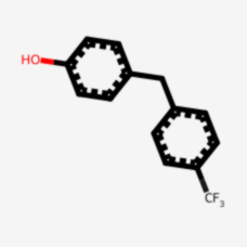 Oc1ccc(Cc2ccc(C(F)(F)F)cc2)cc1